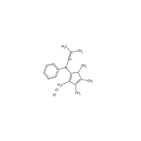 CC1=C(C)C(C)C([N]([Ti+2]=[Si](C)C)c2ccccc2)=C1C.[Cl-].[Cl-]